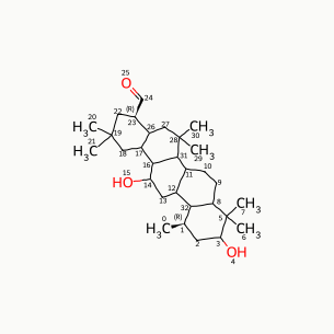 C[C@@H]1CC(O)C(C)(C)C2CCC3C(CC(O)C4C5CC(C)(C)C[C@@H](C=O)C5CC(C)(C)C34)C21